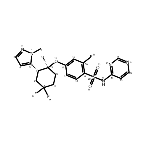 Cn1nccc1[C@H]1CC(F)(F)CC[C@]1(C)Oc1ccc(S(=O)(=O)Nc2ccncn2)c(F)c1